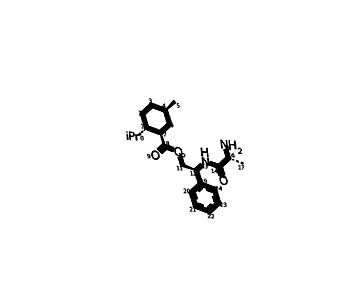 CC(C)[C@@H]1CC[C@@H](C)C[C@H]1C(=O)OC[C@@H](NC(=O)[C@@H](C)N)c1ccccc1